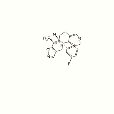 C[C@@H]1c2oncc2C[C@]2(c3cccc(F)c3)c3ncncc3CC[C@@H]12